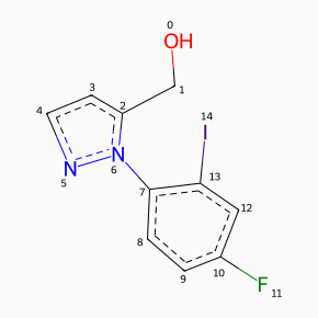 OCc1ccnn1-c1ccc(F)cc1I